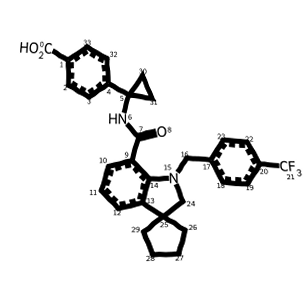 O=C(O)c1ccc(C2(NC(=O)c3cccc4c3N(Cc3ccc(C(F)(F)F)cc3)CC43CCCC3)CC2)cc1